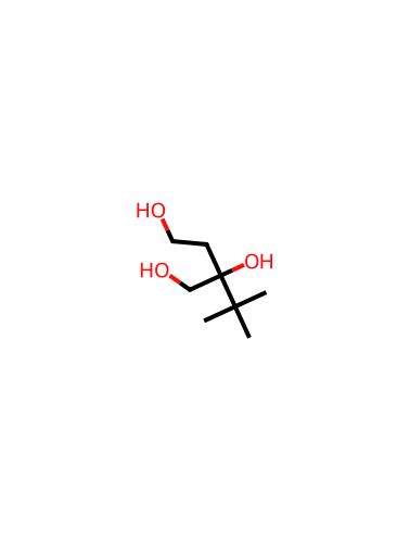 CC(C)(C)C(O)(CO)CCO